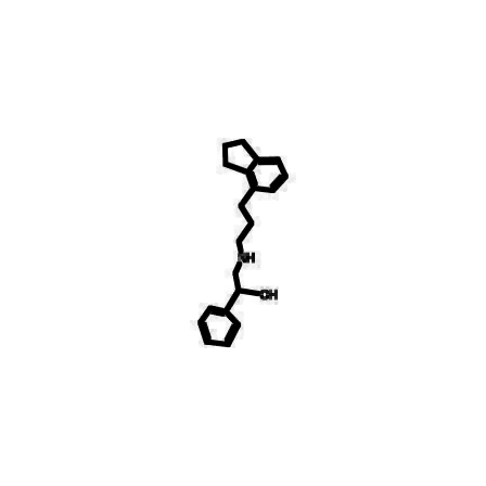 OC(CNCCCc1cccc2c1CCC2)c1ccccc1